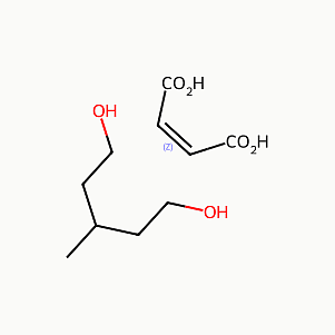 CC(CCO)CCO.O=C(O)/C=C\C(=O)O